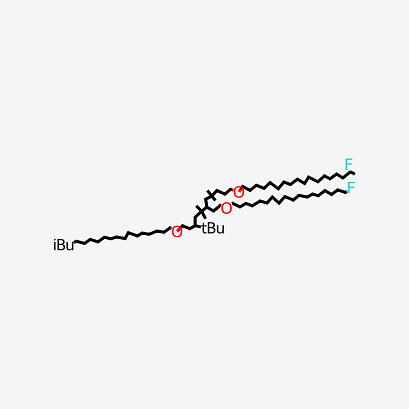 CCC(C)CCCCCCCCCCCCCCCOCCC(CC(C)(C)C(CCOCCCCCCCCCCCCCCCCCCF)CC(C)(C)CCCOCCCCCCCCCCCCCCCCC(C)F)C(C)(C)C